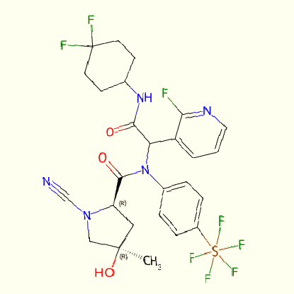 C[C@@]1(O)C[C@H](C(=O)N(c2ccc(S(F)(F)(F)(F)F)cc2)C(C(=O)NC2CCC(F)(F)CC2)c2cccnc2F)N(C#N)C1